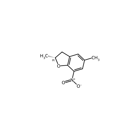 Cc1cc2c(c([N+](=O)[O-])c1)O[C@H](C)C2